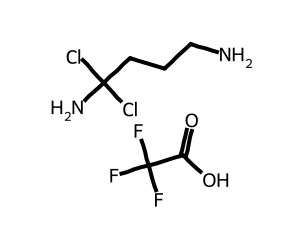 NCCCC(N)(Cl)Cl.O=C(O)C(F)(F)F